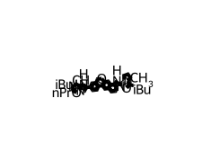 CCCC(=O)N([C@@H](C)CC)[C@@H](C)c1ncc(-c2ccc3c(c2)COc2cc4c(ccc5nc([C@@H]6CC[C@H](C)N6C(=O)C[C@@H](C)CC)[nH]c54)cc2-3)[nH]1